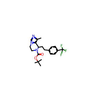 Cc1ncn2c1C(CCc1ccc(C(F)(F)F)cc1)N(C(=O)OC(C)(C)C)CC2